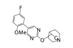 COc1ccc(F)cc1-c1cnc(OC2CN3CCC2CC3)nc1